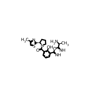 Cc1csc([C@H]2CCCN2C(=O)c2cccc(C(=N)OC(=N)[C@H](C)N)c2O)n1